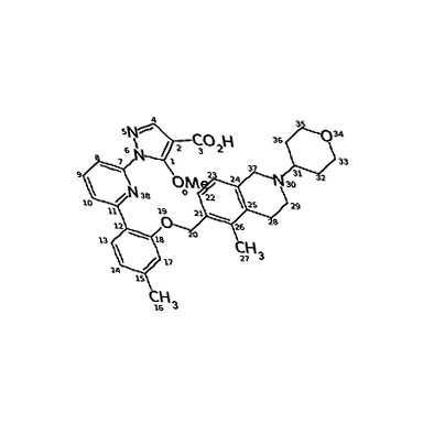 COc1c(C(=O)O)cnn1-c1cccc(-c2ccc(C)cc2OCc2ccc3c(c2C)CCN(C2CCOCC2)C3)n1